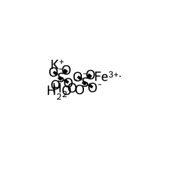 O.O.O=S(=O)([O-])[O-].O=S(=O)([O-])[O-].[Fe+3].[K+]